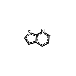 [c]1ccc2ccsc2n1